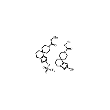 CC(C)(C)OC(=O)N1CCC2(CCCn3nc(O)cc32)CC1.CC(C)(C)OC(=O)N1CCC2(CCCn3nc(OS(=O)(=O)C(F)(F)F)cc32)CC1